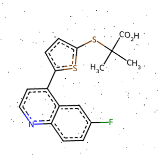 CC(C)(Sc1ccc(-c2ccnc3ccc(F)cc23)s1)C(=O)O